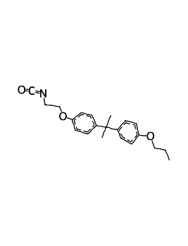 CCCOc1ccc(C(C)(C)c2ccc(OCCN=C=O)cc2)cc1